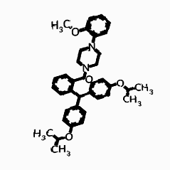 COc1ccccc1N1CCN(C(=O)c2ccccc2C(c2ccc(OC(C)C)cc2)c2ccc(OC(C)C)cc2)CC1